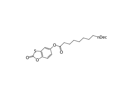 CCCCCCCCCCCCCCCCCC(=O)Oc1ccc2oc(=O)sc2c1